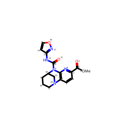 COC(=O)c1ccc2c(n1)N(C(=O)Nc1ccon1)C1CCCN2C1